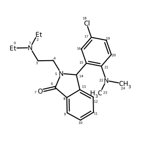 CCN(CC)CCN1C(=O)c2ccccc2C1c1cc(Cl)ccc1N(C)C